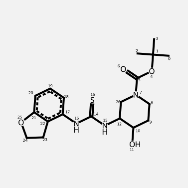 CC(C)(C)OC(=O)N1CCC(O)C(NC(=S)Nc2cccc3c2CCO3)C1